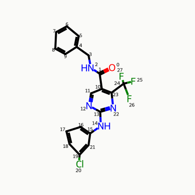 O=C(NCc1ccccc1)c1cnc(Nc2cccc(Cl)c2)nc1C(F)(F)F